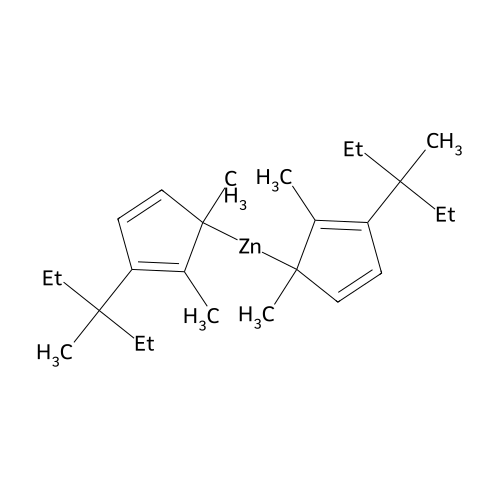 CCC(C)(CC)C1=C(C)[C](C)([Zn][C]2(C)C=CC(C(C)(CC)CC)=C2C)C=C1